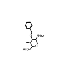 CC(=O)NC1COC(COC(C)=O)[C@@H](C)[C@H]1OCc1ccccc1